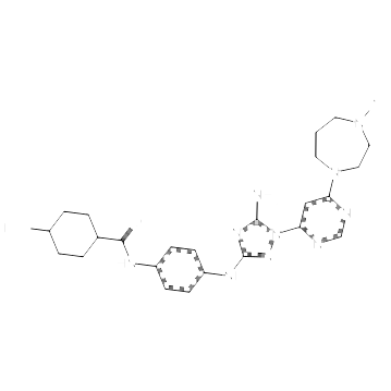 CC(=O)N1CCCN(c2cc(-n3nc(Nc4ccc(NC(=O)C5CCC(C)CC5)cc4)nc3N)ncn2)CC1